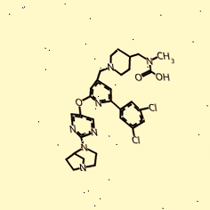 CN(CC1CCN(Cc2cc(Oc3cnc(N4CCN5CCC4C5)nc3)nc(-c3cc(Cl)cc(Cl)c3)c2)CC1)C(=O)O